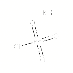 [KH].[O]=[Re](=[O])(=[O])[Cl]